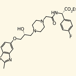 CCOC(=O)[C@@H](NC(=O)CN1CCN(C[C@@H](O)COc2ccc3sc(C)nc3c2)CC1)c1ccc(F)cc1